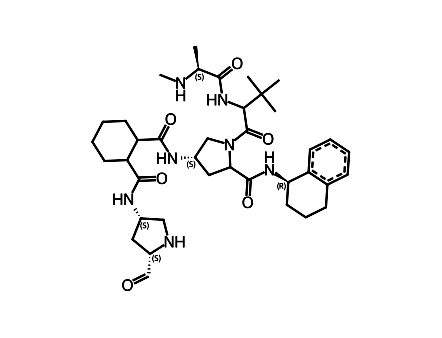 CN[C@@H](C)C(=O)NC(C(=O)N1C[C@@H](NC(=O)C2CCCCC2C(=O)N[C@@H]2CN[C@H](C=O)C2)CC1C(=O)N[C@@H]1CCCc2ccccc21)C(C)(C)C